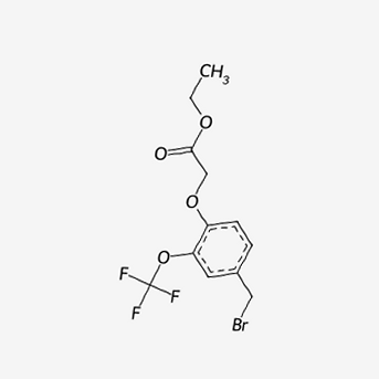 CCOC(=O)COc1ccc(CBr)cc1OC(F)(F)F